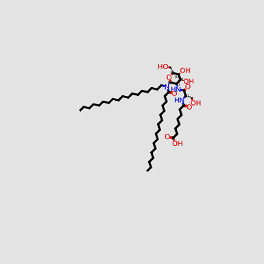 CCCCCCCCCCCCCCCCCCN(C(=O)CCCCCCCCCCCCCCCCC)[C@@H]1O[C@H](CO)[C@@H](O)[C@H](O)[C@H]1NC(=O)[C@H](CO)NC(=O)CCCCCCC(=O)O